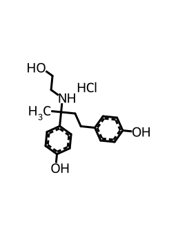 CC(CCc1ccc(O)cc1)(NCCO)c1ccc(O)cc1.Cl